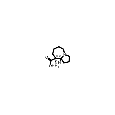 N[C@@]1(C(=O)O)CCCCN2CCC[C@@H]21